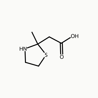 CC1(CC(=O)O)NCCS1